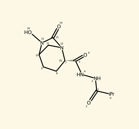 CC(C)C(=O)NNC(=O)[C@@H]1CCC2CN1C(=O)N2O